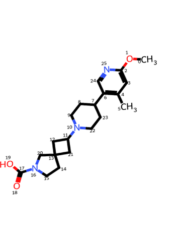 COc1cc(C)c(C2CCN(C3CC4(CCN(C(=O)O)C4)C3)CC2)cn1